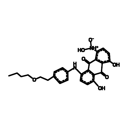 CCCCOCCc1ccc(Nc2ccc(O)c3c2C(=O)c2c([NH+]([O-])O)ccc(O)c2C3=O)cc1